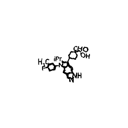 Cc1cc(-n2c(C(C)C)c(C3CCC(C=O)(CO)CC3)c3cc4[nH]ncc4cc32)ccc1F